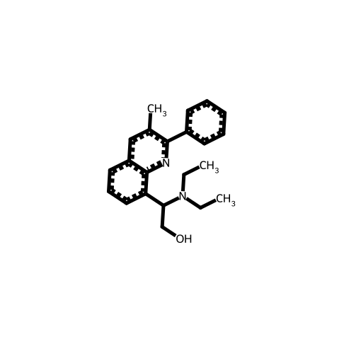 CCN(CC)C(CO)c1cccc2cc(C)c(-c3ccccc3)nc12